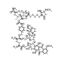 COc1cccc2c1C(=O)c1c(O)c3c(c(O)c1C2=O)C[C@@](O)(C(=O)COC(=O)N(C)CCN(C)C(=O)OCc1ccc(NC(=O)[C@H](CCCNC(N)=O)NC(=O)[C@@H](NC(=O)CCCCCN2C(=N)C(SC)CC2=O)C(C)C)cc1)C[C@@H]3O[C@H]1C[C@H]2[C@H](O[C@@H]3[C@@H](OC)OCCN32)[C@H](C)O1